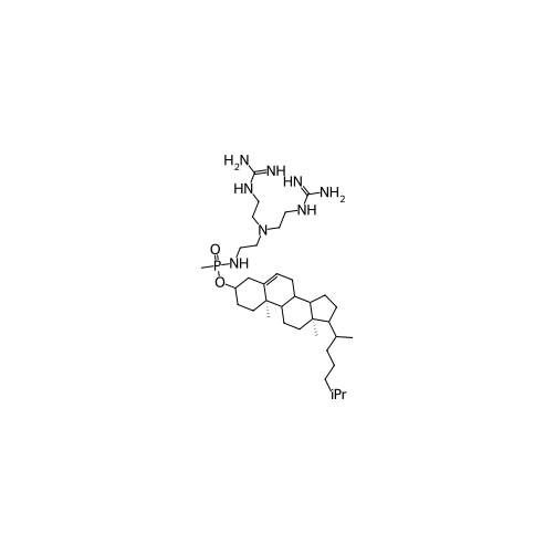 CC(C)CCCC(C)C1CCC2C3CC=C4CC(OP(C)(=O)NCCN(CCNC(=N)N)CCNC(=N)N)CC[C@]4(C)C3CC[C@]12C